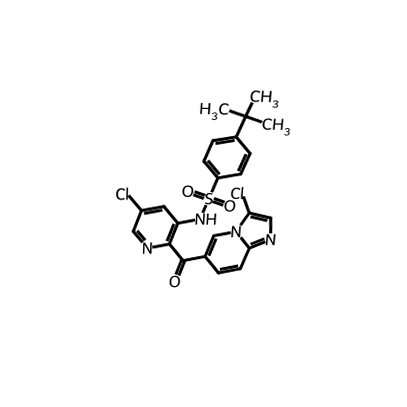 CC(C)(C)c1ccc(S(=O)(=O)Nc2cc(Cl)cnc2C(=O)c2ccc3ncc(Cl)n3c2)cc1